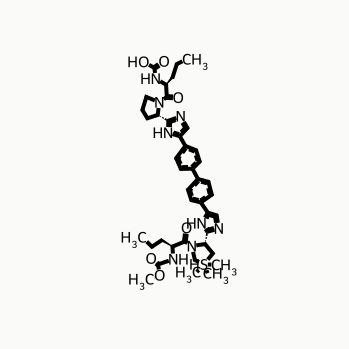 CCC[C@H](NC(=O)O)C(=O)N1CCC[C@H]1c1ncc(-c2ccc(-c3ccc(-c4cnc([C@@H]5C[SH](C)(C)(C)CN5C(=O)[C@H](CCC)NC(=O)OC)[nH]4)cc3)cc2)[nH]1